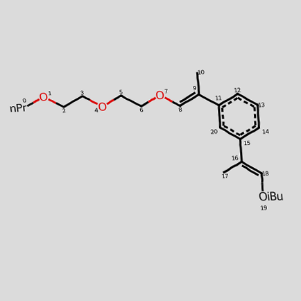 CCCOCCOCCOC=C(C)c1cccc(C(C)=COCC(C)C)c1